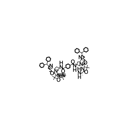 CN[C@@H](C)C(=O)N[C@H](C(=O)N1C[C@@H](NC(=O)c2ccc(C(=O)N[C@H]3C[C@@H](c4nc(C(c5ccccc5)c5ccccc5)cs4)N(C(=O)[C@@H](NC(=O)[C@H](C)NC)C(C)(C)C)C3)cc2)C[C@H]1c1nc(C(c2ccccc2)c2ccccc2)cs1)C(C)(C)C